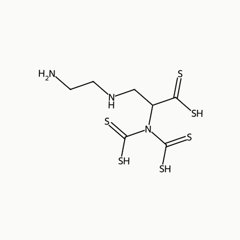 NCCNCC(C(=S)S)N(C(=S)S)C(=S)S